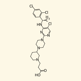 C[C@@H](Nc1nc(N2CCN(C3CCCN(CCC(=O)O)C3)CC2)ncc1Cl)c1ccc(Cl)cc1Cl